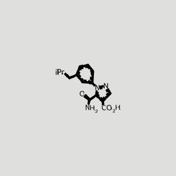 CC(C)Cc1cccc(-n2ncc(C(=O)O)c2C(N)=O)c1